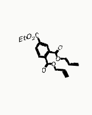 C=CCOC(=O)c1ccc(C(=O)OCC)cc1C(=O)OCC=C